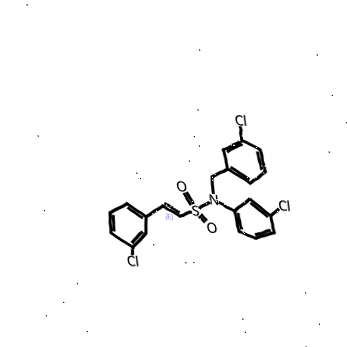 O=S(=O)(/C=C/c1cccc(Cl)c1)N(Cc1cccc(Cl)c1)c1cccc(Cl)c1